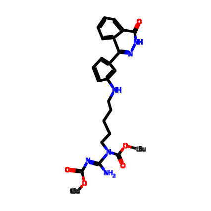 CC(C)(C)OC(=O)N=C(N)N(CCCCCNc1cccc(-c2n[nH]c(=O)c3ccccc23)c1)C(=O)OC(C)(C)C